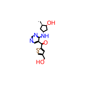 [CH2][C@@H]1C[C@@H](Nc2ncncc2C(=O)c2cc(CO)cs2)C[C@@H]1O